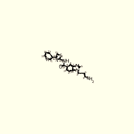 NCCCn1cnc2cc(C(=O)Nc3nc(-c4cccnc4)cs3)ccc21